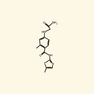 Cc1cnc(NC(=O)c2ccc(NCC(N)=O)cc2C)s1